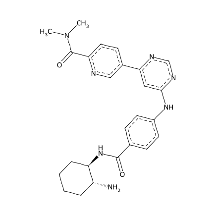 CN(C)C(=O)c1ccc(-c2cc(Nc3ccc(C(=O)N[C@@H]4CCCC[C@H]4N)cc3)ncn2)cn1